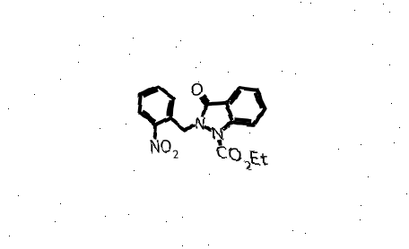 CCOC(=O)n1c2ccccc2c(=O)n1Cc1ccccc1[N+](=O)[O-]